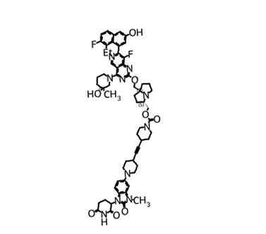 CCc1c(F)ccc2cc(O)cc(-c3ncc4c(N5CCC[C@@](C)(O)C5)nc(OC[C@@]56CCCN5[C@H](COC(=O)N5CCC(C#CC7CCN(c8ccc9c(c8)n(C)c(=O)n9C8CCC(=O)NC8=O)CC7)CC5)CC6)nc4c3F)c12